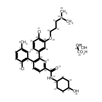 Cc1ccc(Cl)c(-c2ccc(C(=O)NC3CCC(O)CC3)nc2-c2ccc(Cl)c(OCCCN(C)C)c2)c1.Cl.O=C(O)O